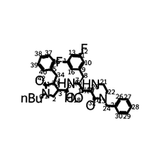 CCCCN1CC(C(=O)N[C@@H](Cc2cc(F)cc(F)c2)[C@H](O)[C@@H]2NCCN(Cc3ccccc3)C2=O)C(Cc2ccccc2)C1=O